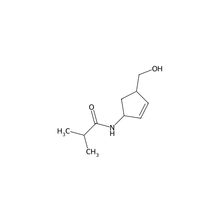 CC(C)C(=O)NC1C=CC(CO)C1